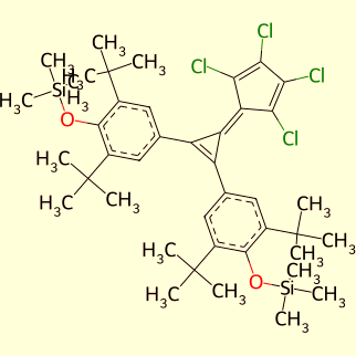 CC(C)(C)c1cc(C2=C(c3cc(C(C)(C)C)c(O[Si](C)(C)C)c(C(C)(C)C)c3)C2=C2C(Cl)=C(Cl)C(Cl)=C2Cl)cc(C(C)(C)C)c1O[Si](C)(C)C